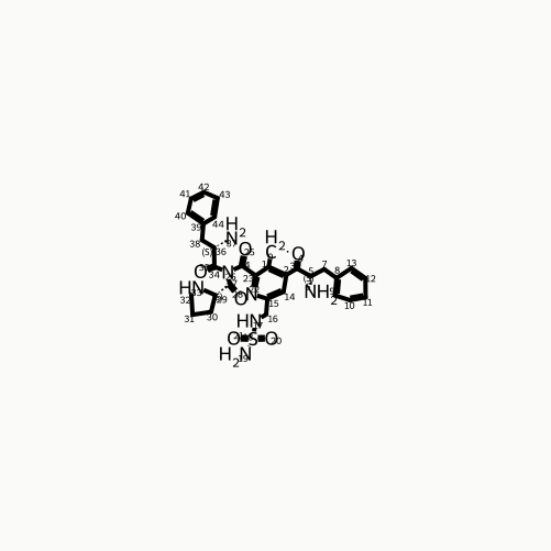 [CH2]c1c(C(=O)[C@@H](N)Cc2ccccc2)cc(CNS(N)(=O)=O)nc1C(=O)N(C(=O)[C@@H]1CCCN1)C(=O)[C@@H](N)Cc1ccccc1